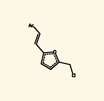 CC(=O)C=Cc1ccc(CCl)o1